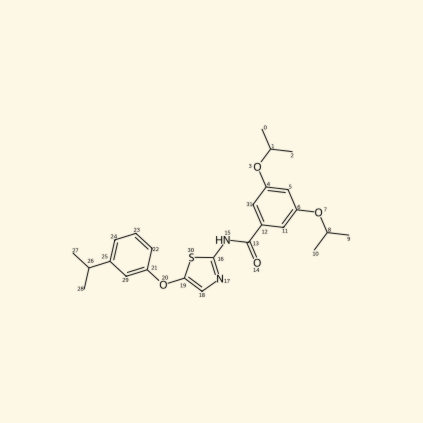 CC(C)Oc1cc(OC(C)C)cc(C(=O)Nc2ncc(Oc3cccc(C(C)C)c3)s2)c1